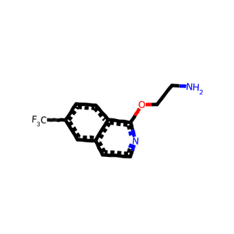 NCCOc1nccc2cc(C(F)(F)F)ccc12